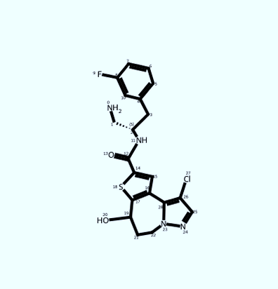 NC[C@H](Cc1cccc(F)c1)NC(=O)c1cc2c(s1)C(O)CCn1ncc(Cl)c1-2